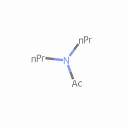 [CH2]C(=O)N(CCC)CCC